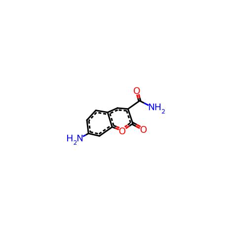 NC(=O)c1cc2ccc(N)cc2oc1=O